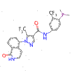 CP(C)c1ccc(NC(=O)c2cnn(-c3cccc4c(=O)[nH]ccc34)c2C(F)(F)F)cc1C(F)(F)F